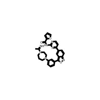 CC(=N)N1CCCN(c2cccc(-c3onc4ccc(-c5ccnc(NC(=O)c6ccco6)n5)cc34)c2)CC1